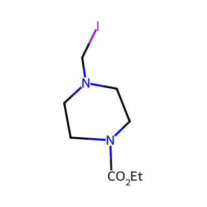 CCOC(=O)N1CCN(CI)CC1